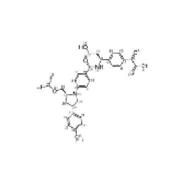 CCC(=O)C(=O)c1ccc([C@H](CCO)NC(=O)c2ccc(N3C[C@H](c4ccc(C(F)(F)F)cc4)C[C@H]3COC(F)F)cc2)cc1